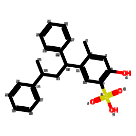 Cc1cc(O)c(S(=O)(=O)O)cc1C(CC(C)c1ccccc1)c1ccccc1